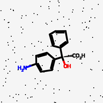 Nc1ccc([C@@](O)(C(=O)O)c2ccccc2)cc1